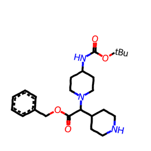 CC(C)(C)OC(=O)NC1CCN(C(C(=O)OCc2ccccc2)C2CCNCC2)CC1